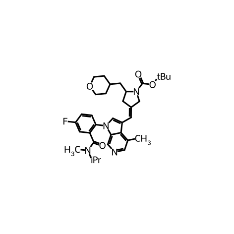 Cc1cncc2c1c(/C=C1\CC(CC3CCOCC3)N(C(=O)OC(C)(C)C)C1)cn2-c1ccc(F)cc1C(=O)N(C)C(C)C